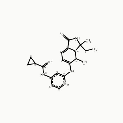 CC1(CC(F)(F)F)NC(=O)C2=CC=C(Nc3cc(NC(=O)C4CC4)ncn3)C(O)N21